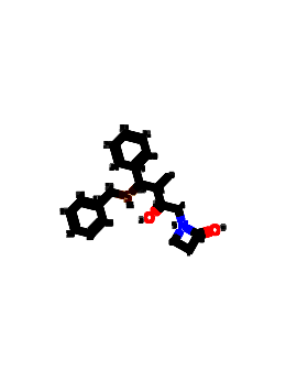 CC(C(=O)CN1CCC1=O)C(SCc1ccccc1)c1ccccc1